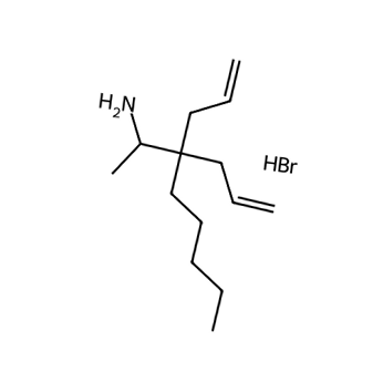 Br.C=CCC(CC=C)(CCCCC)C(C)N